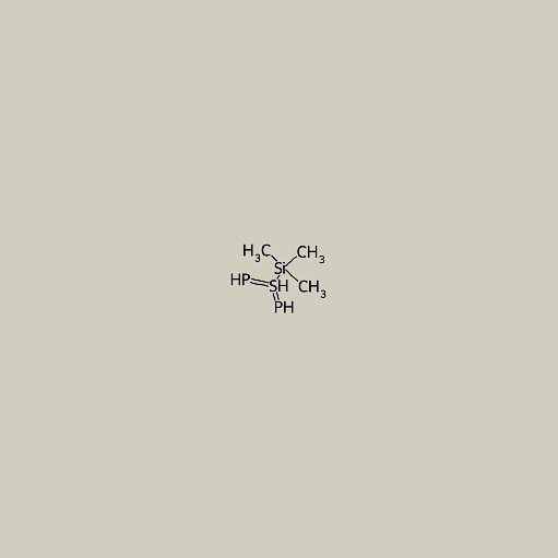 C[Si](C)(C)[SH](=P)=P